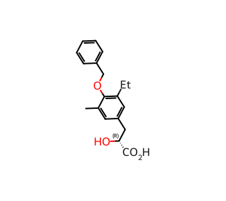 CCc1cc(C[C@@H](O)C(=O)O)cc(C)c1OCc1ccccc1